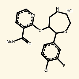 CNC(=O)c1cccnc1OC1CNCCOC1c1ccc(Cl)c(F)c1.Cl